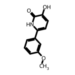 COc1cccc(-c2ccc(O)c(=O)[nH]2)c1